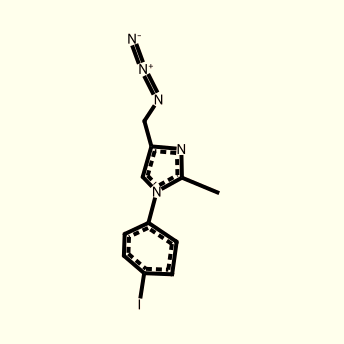 Cc1nc(CN=[N+]=[N-])cn1-c1ccc(I)cc1